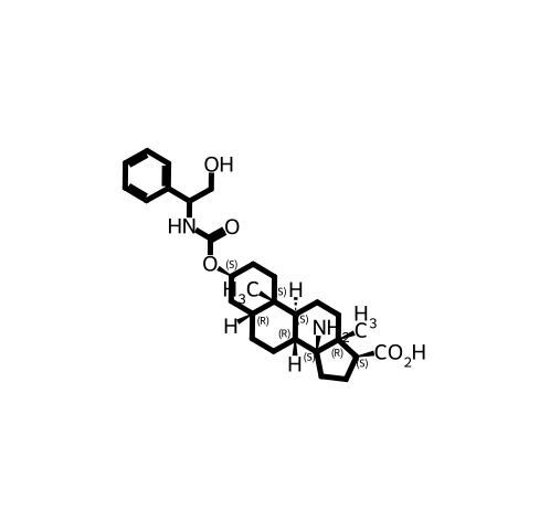 C[C@]12CC[C@H](OC(=O)NC(CO)c3ccccc3)C[C@H]1CC[C@@H]1[C@@H]2CC[C@]2(C)[C@@H](C(=O)O)CC[C@]12N